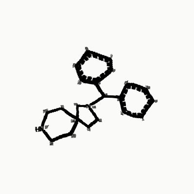 c1ccc(C(c2ccccc2)N2CCC3(CCNCC3)C2)cc1